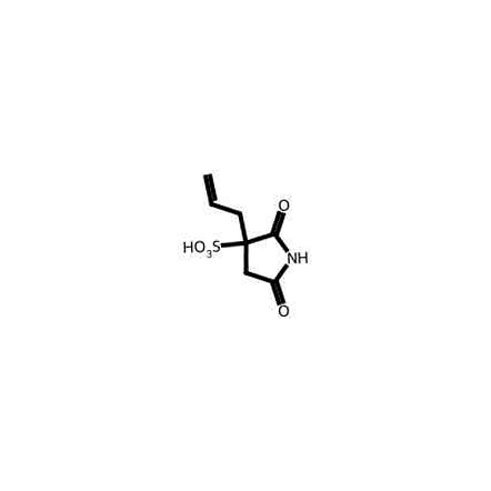 C=CCC1(S(=O)(=O)O)CC(=O)NC1=O